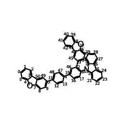 c1ccc2c(c1)oc1ccc(-c3ccc(-c4ccc(-n5c6ccccc6c6ccccc65)c(-c5ccc6oc7ccccc7c6c5)c4)cc3)cc12